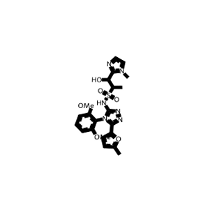 COc1cccc(OC)c1-n1c(NS(=O)(=O)C(C)C(O)c2nccn2C)nnc1-c1ccc(C)o1